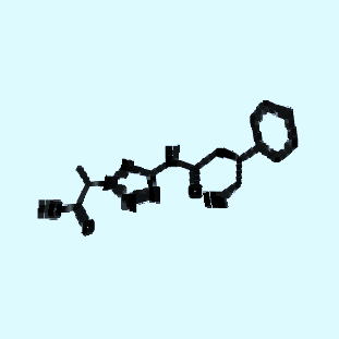 CC(C(=O)O)n1nnc(NC(=O)C[C@H](CS)c2ccccc2)n1